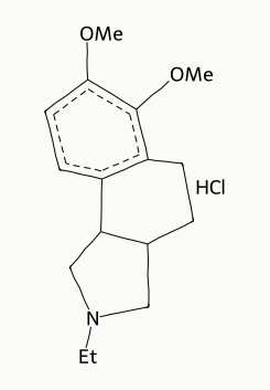 CCN1CC2CCc3c(ccc(OC)c3OC)C2C1.Cl